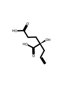 C=CC[C@@](O)(CCC(=O)O)C(=O)O